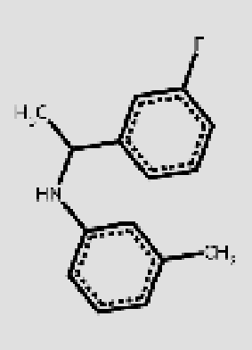 Cc1cccc(NC(C)c2cccc(F)c2)c1